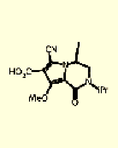 COc1c(C(=O)O)c(C#N)n2c1C(=O)N(C(C)C)CC2C